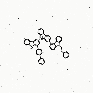 c1ccc(CCC2c3ccccc3-c3c(-c4ccc5c6ccccc6n(-c6cc(-c7ccc(-c8ccccc8)cc7)c7sc8ccccc8c7c6)c5c4)cccc32)cc1